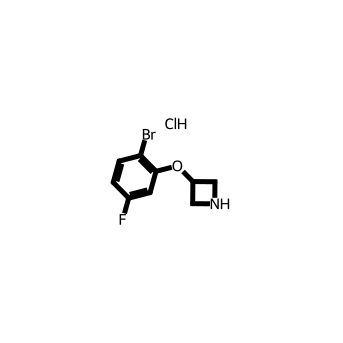 Cl.Fc1ccc(Br)c(OC2CNC2)c1